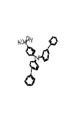 OB(O)c1ccc(N(c2ccc(-c3ccccc3)cc2)c2cccc(-c3ccccc3)c2)cc1